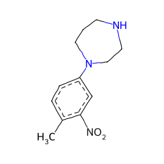 Cc1ccc(N2CCCNCC2)cc1[N+](=O)[O-]